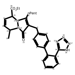 CCCCCc1c(Cc2ccc(-c3ccccc3-c3nnn[nH]3)cc2)c(=O)n2n1C(C(=O)OCC)C=CC2C